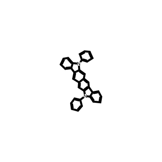 c1ccc(-n2c3ccccc3c3cc4cc5c(cc4cc32)c2ccccc2n5-c2ccccc2)cc1